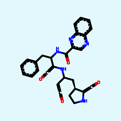 O=C=CC(C[C@@H]1CCNC1=C=O)NC(=C=O)C(Cc1ccccc1)NC(=O)c1cnc2ccccc2n1